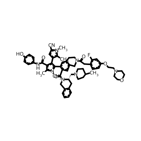 Cc1c(-c2c(C(=O)Nc3ccc(O)cc3)c(C)n(C)c2-c2cc3c(cc2C(=O)N2Cc4ccccc4C[C@H]2CN2CCC(C)CC2)CN(C(=O)Cc2ccc(OCCN4CCOCC4)cc2F)CC3)cc(C#N)n1C